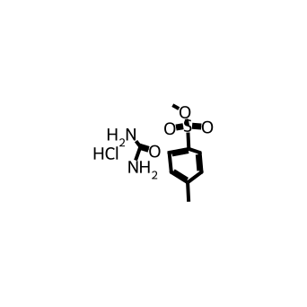 COS(=O)(=O)c1ccc(C)cc1.Cl.NC(N)=O